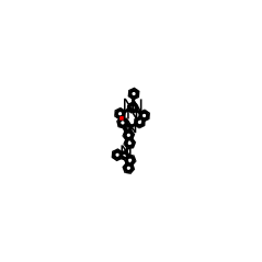 c1ccc(-c2nc(-c3ccccc3)nc(-c3cccc4ccc(-n5c6ccccc6c6cc7cc(-n8c9ccccc9c9c%10ccccc%10ccc98)ccc7cc65)cc34)n2)cc1